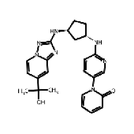 CC(C)(O)c1ccn2nc(N[C@H]3CC[C@H](Nc4ccc(-n5ccccc5=O)cn4)C3)nc2c1